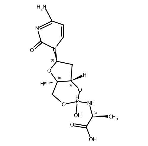 C[C@H](N[PH]1(O)OC[C@H]2O[C@@H](n3ccc(N)nc3=O)C[C@@H]2O1)C(=O)O